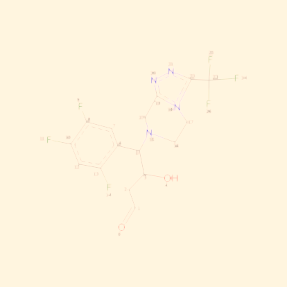 O=CCC(O)C(c1cc(F)c(F)cc1F)N1CCn2c(nnc2C(F)(F)F)C1